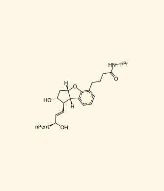 CCCCC[C@H](O)/C=C/[C@@H]1[C@H]2c3cccc(CCCC(=O)NCCC)c3O[C@H]2C[C@H]1O